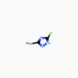 COc1n[nH]c(Cl)n1